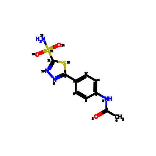 CC(=O)Nc1ccc(-c2nnc(S(N)(=O)=O)s2)cc1